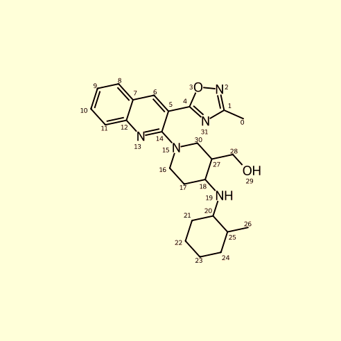 Cc1noc(-c2cc3ccccc3nc2N2CCC(NC3CCCCC3C)C(CO)C2)n1